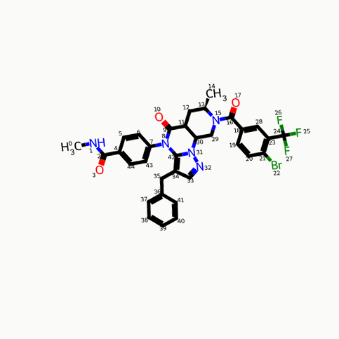 CNC(=O)c1ccc(N2C(=O)C3C[C@@H](C)N(C(=O)c4ccc(Br)c(C(F)(F)F)c4)CC3n3ncc(Cc4ccccc4)c32)cc1